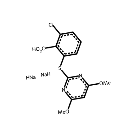 COc1cc(OC)nc(Sc2cccc(Cl)c2C(=O)O)n1.[NaH].[NaH]